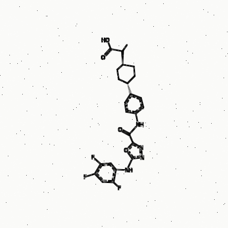 CC(C(=O)O)[C@H]1CC[C@H](c2ccc(NC(=O)c3nnc(Nc4cc(F)c(F)cc4F)o3)cc2)CC1